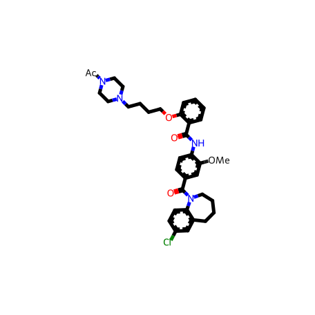 COc1cc(C(=O)N2CCCCc3cc(Cl)ccc32)ccc1NC(=O)c1ccccc1OCCCCN1CCN(C(C)=O)CC1